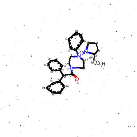 O=C(O)[C@@H]1CCCN1[N+]1(c2ccccc2)CCN(C(=O)C(c2ccccc2)c2ccccc2)CC1